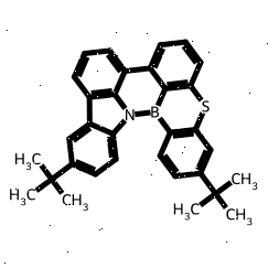 CC(C)(C)c1ccc2c(c1)Sc1cccc3c1B2n1c2ccc(C(C)(C)C)cc2c2cccc-3c21